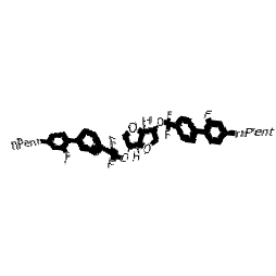 CCCCCc1ccc(-c2ccc(C(F)(F)O[C@H]3CO[C@@H]4[C@H]3OC[C@H]4OC(F)(F)c3ccc(-c4ccc(CCCCC)cc4F)cc3)cc2)c(F)c1